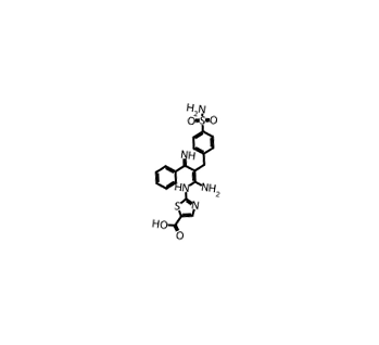 N=C(/C(Cc1ccc(S(N)(=O)=O)cc1)=C(/N)Nc1ncc(C(=O)O)s1)c1ccccc1